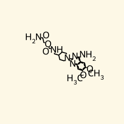 COc1cc2nc(N3CCC(CNC(=O)OCC(N)=O)CC3)nc(N)c2cc1OC